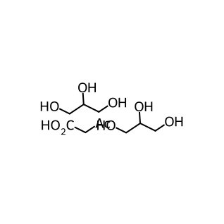 CC(=O)CC(=O)O.OCC(O)CO.OCC(O)CO